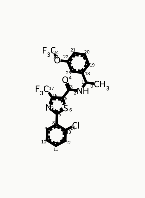 CC(NC(=O)c1sc(-c2ccccc2Cl)nc1C(F)(F)F)c1cccc(OC(F)(F)F)c1